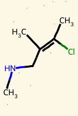 CNC/C(C)=C(/C)Cl